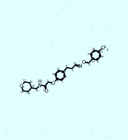 O=C(COc1ccc(CCC=NOCc2ccc(C(F)(F)F)cc2)cc1)NCC1CCOCC1